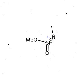 C/N=[SH](=O)\OC